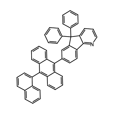 c1ccc(C2(c3ccccc3)c3cc(-c4c5ccccc5c(-c5cccc6ccccc56)c5ccccc45)ccc3-c3ncccc32)cc1